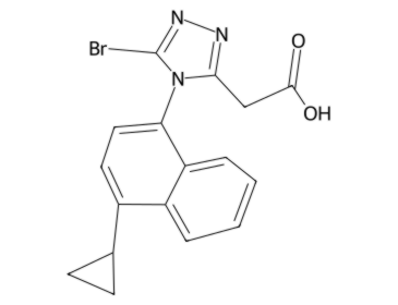 O=C(O)Cc1nnc(Br)n1-c1ccc(C2CC2)c2ccccc12